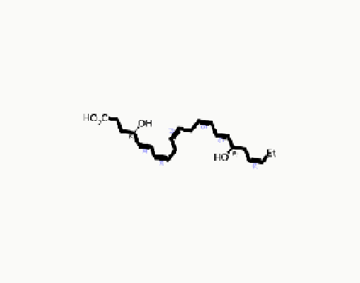 CC/C=C\C[C@@H](O)/C=C/C=C\C/C=C\C/C=C\C=C\[C@@H](O)CCC(=O)O